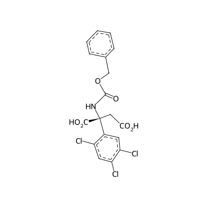 O=C(O)C[C@](NC(=O)OCc1ccccc1)(C(=O)O)c1cc(Cl)c(Cl)cc1Cl